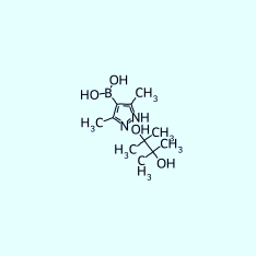 CC(C)(O)C(C)(C)O.Cc1n[nH]c(C)c1B(O)O